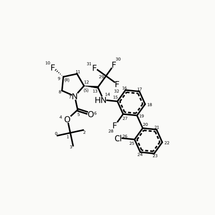 CC(C)(C)OC(=O)N1C[C@H](F)C[C@H]1C(Nc1cccc(-c2ccccc2Cl)c1F)C(F)(F)F